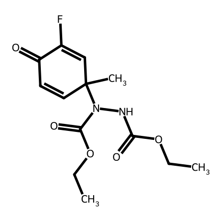 CCOC(=O)NN(C(=O)OCC)C1(C)C=CC(=O)C(F)=C1